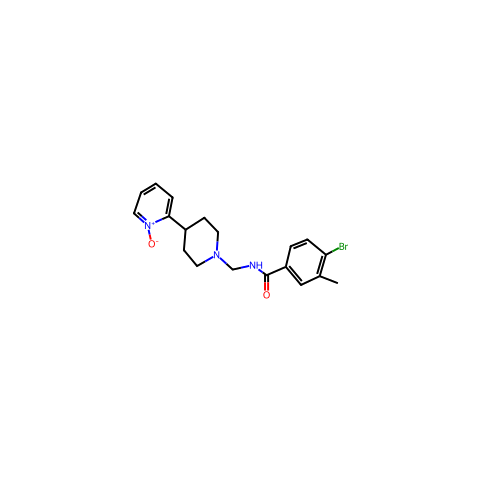 Cc1cc(C(=O)NCN2CCC(c3cccc[n+]3[O-])CC2)ccc1Br